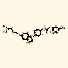 CCCCN(CCCC)CCCOc1ccc2c(c1)ncn2-c1ccc(NC(=O)Nc2cc(C(C)(C)C)n[nH]2)cc1